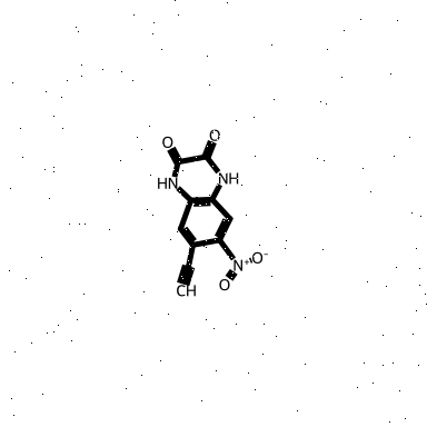 C#Cc1cc2[nH]c(=O)c(=O)[nH]c2cc1[N+](=O)[O-]